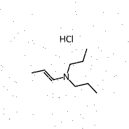 CC=CN(CCC)CCC.Cl